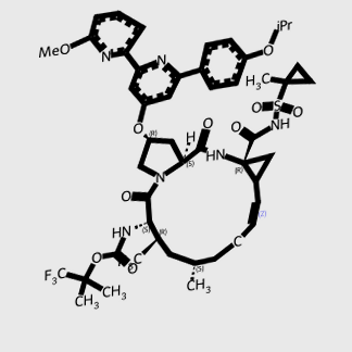 COc1cccc(-c2cc(O[C@@H]3C[C@H]4C(=O)N[C@]5(C(=O)NS(=O)(=O)C6(C)CC6)CC5/C=C\CC[C@H](C)C[C@@H](C)[C@H](NC(=O)OC(C)(C)C(F)(F)F)C(=O)N4C3)cc(-c3ccc(OC(C)C)cc3)n2)n1